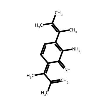 C=C(C)/C(C)=C1/C=CC(C(C)=C(C)C)=C(N)C1=N